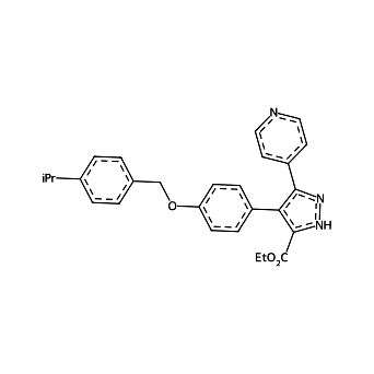 CCOC(=O)c1[nH]nc(-c2ccncc2)c1-c1ccc(OCc2ccc(C(C)C)cc2)cc1